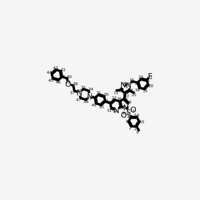 Cc1ccc(S(=O)(=O)n2cc(-c3c(C)nn(Cc4cccc(F)c4)c3C)c3cc(-c4ccc(N5CCN(CCOCc6ccccc6)CC5)cc4)cnc32)cc1